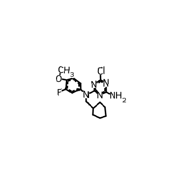 COc1ccc(N(CC2CCCCC2)c2nc(N)nc(Cl)n2)cc1F